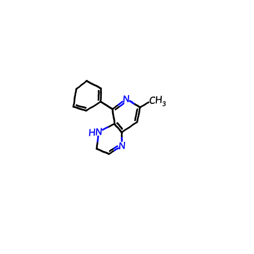 Cc1cc2c(c(C3=CCCC=C3)n1)NCC=N2